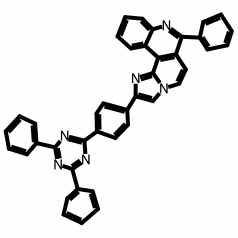 c1ccc(-c2nc(-c3ccccc3)nc(-c3ccc(-c4cn5ccc6c(-c7ccccc7)nc7ccccc7c6c5n4)cc3)n2)cc1